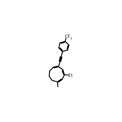 CCC1=C/C(C#Cc2ccc(C(F)(F)F)cc2)=C\CCC/C(C)=C\1